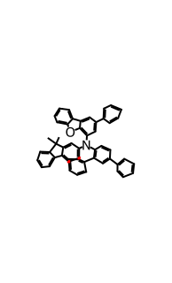 CC1(C)c2ccccc2-c2ccc(N(c3ccc(-c4ccccc4)cc3-c3ccccc3)c3cc(-c4ccccc4)cc4c3oc3ccccc34)cc21